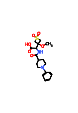 COC1(C(NC(=O)C2CCN(c3ccccc3)CC2)C(=O)O)CS(=O)(=O)C1